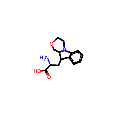 N[C@@H](CC1c2ccccc2N2CCOCC12)C(=O)O